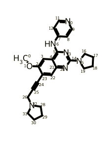 COc1cc2c(Nc3ccncc3)nc(N3CCCC3)nc2cc1C#CCN1CCCC1